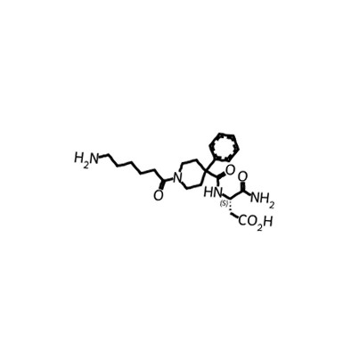 NCCCCCC(=O)N1CCC(C(=O)N[C@@H](CC(=O)O)C(N)=O)(c2ccccc2)CC1